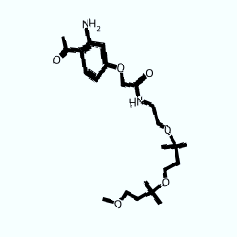 COCCC(C)(C)OCCC(C)(C)OCCNC(=O)COc1ccc(C(C)=O)c(N)c1